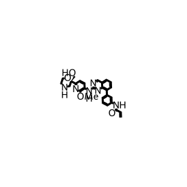 C=CC(=O)Nc1cccc(-c2cccc3cnc(Nc4ccc([C@]5(CO)CNCCO5)nc4OC)nc23)c1